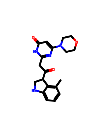 Cc1cccc2c1C(C(=O)Cc1nc(N3CCOCC3)cc(=O)[nH]1)CN2